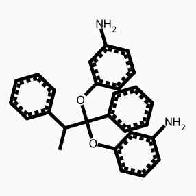 CC(c1ccccc1)C(Oc1cccc(N)c1)(Oc1cccc(N)c1)c1ccccc1